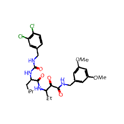 CCC(NC(=O)C(CC(C)C)NC(=O)NCc1ccc(Cl)c(Cl)c1)C(=O)C(=O)NCc1cc(OC)cc(OC)c1